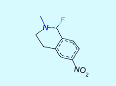 CN1CCc2cc([N+](=O)[O-])ccc2C1F